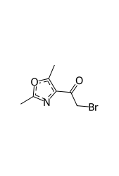 Cc1nc(C(=O)CBr)c(C)o1